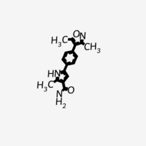 Cc1noc(C)c1-c1ccc(-c2cc(C(N)=O)c(C)[nH]2)cc1